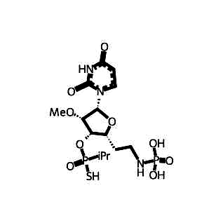 CO[C@H]1[C@@H](OP(=O)(S)C(C)C)[C@@H](CCNP(=O)(O)O)O[C@H]1n1ccc(=O)[nH]c1=O